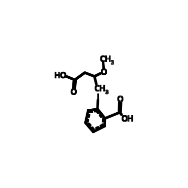 COC(C)CC(=O)O.O=C(O)c1ccccc1I